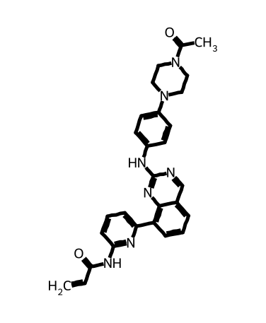 C=CC(=O)Nc1cccc(-c2cccc3cnc(Nc4ccc(N5CCN(C(C)=O)CC5)cc4)nc23)n1